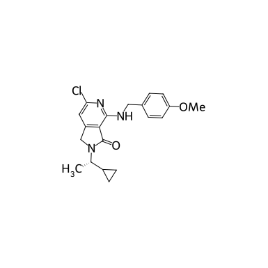 COc1ccc(CNc2nc(Cl)cc3c2C(=O)N([C@@H](C)C2CC2)C3)cc1